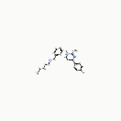 CCCCC1=NC(c2ccc(C)cc2)=CCN1Cc1cccc(CNCCCCC(C)C)c1